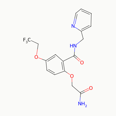 NC(=O)COc1ccc(OCC(F)(F)F)cc1C(=O)NCc1ccccn1